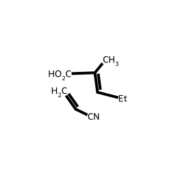 C=CC#N.CCC=C(C)C(=O)O